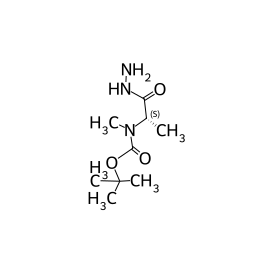 C[C@@H](C(=O)NN)N(C)C(=O)OC(C)(C)C